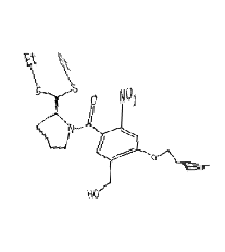 CCSC(SCC)[C@@H]1CCCN1C(=O)c1cc(CO)c(OCBr)cc1[N+](=O)[O-]